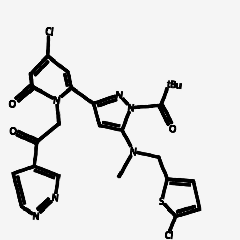 CN(Cc1ccc(Cl)s1)c1cc(-c2cc(Cl)cc(=O)n2CC(=O)c2ccnnc2)nn1C(=O)C(C)(C)C